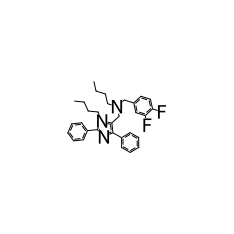 CCCCN(Cc1ccc(F)c(F)c1)Cc1c(-c2ccccc2)nc(-c2ccccc2)n1CCCC